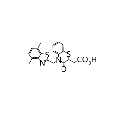 Cc1ccc(C)c2sc(CN3C(=O)C(CC(=O)O)Sc4ccccc43)nc12